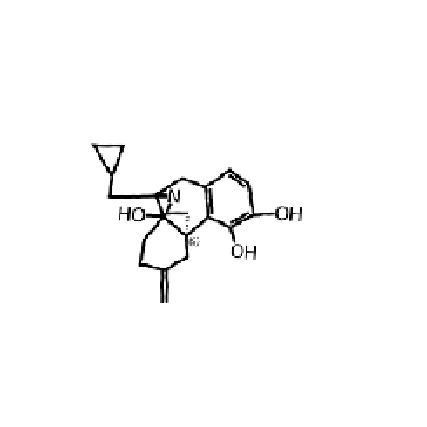 C=C1CCC2(O)C3Cc4ccc(O)c(O)c4[C@@]2(CCN3CC2CC2)C1